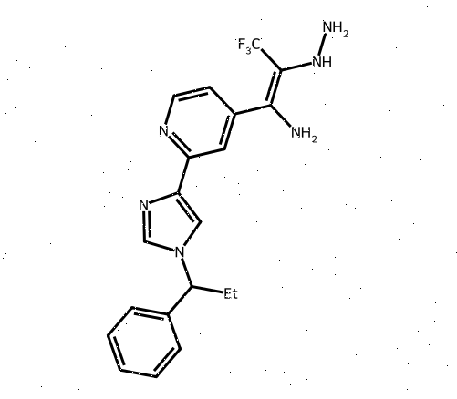 CCC(c1ccccc1)n1cnc(-c2cc(/C(N)=C(/NN)C(F)(F)F)ccn2)c1